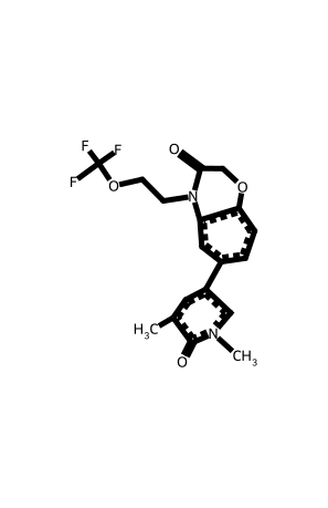 Cc1cc(-c2ccc3c(c2)N(CCOC(F)(F)F)C(=O)CO3)cn(C)c1=O